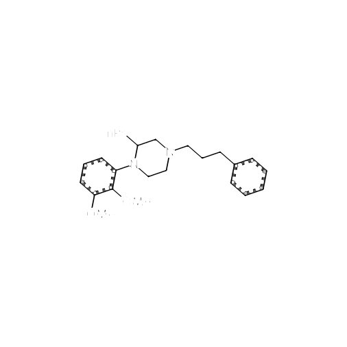 CCCC1CN(CCCc2ccccc2)CCN1c1cccc(OC)c1OC